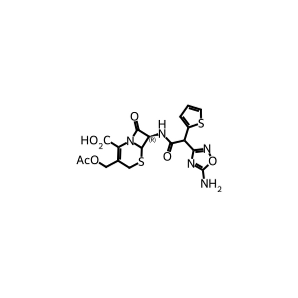 CC(=O)OCC1=C(C(=O)O)N2C(=O)[C@@H](NC(=O)C(c3noc(N)n3)c3cccs3)C2SC1